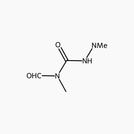 CNNC(=O)N(C)C=O